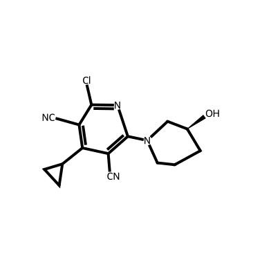 N#Cc1c(Cl)nc(N2CCC[C@H](O)C2)c(C#N)c1C1CC1